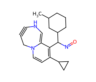 CC1CCCC(C(N=O)C2=C(C3CC3)C=CN3CC#CNC=C23)C1